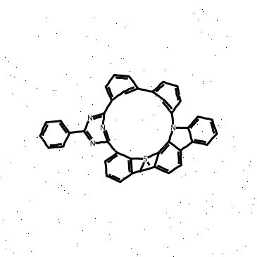 CS1(C)c2c3cccc2-c2ccc4c5ccccc5n(c4c21)-c1cccc(c1)-c1cccc(c1)-c1nc(-c2ccccc2)nc-3n1